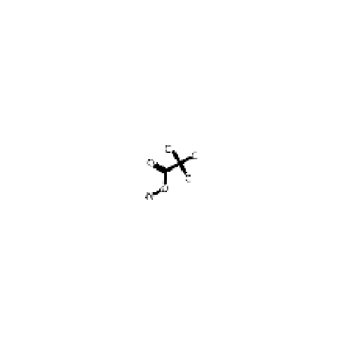 [N]OC(=O)C(Cl)(Cl)Cl